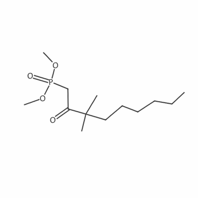 CCCCCCC(C)(C)C(=O)CP(=O)(OC)OC